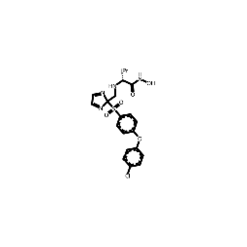 CC(C)[C@@H](NCC1(S(=O)(=O)c2ccc(Oc3ccc(Cl)cc3)cc2)N=CC=N1)C(=O)NO